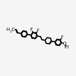 C/C=C/c1ccc(-c2ccc(CCC3CC=C(c4ccc(OCC)c(F)c4)CC3)c(F)c2F)cc1